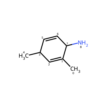 CC1=CC(C)C=CC1N